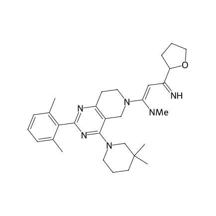 CN/C(=C\C(=N)C1CCCO1)N1CCc2nc(-c3c(C)cccc3C)nc(N3CCCC(C)(C)C3)c2C1